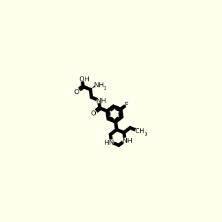 CCC1NCNCC1c1cc(F)cc(C(=O)NC[C@@H](N)C(=O)O)c1